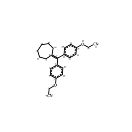 N#CCOc1ccc(C(=C2CCCCCC2)c2ccc(OCC#N)cc2)cc1